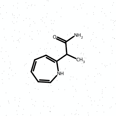 CC(C(N)=O)C1=CC=CC=CN1